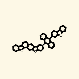 c1ccc2c(c1)oc1cc(-c3c4ccccc4c(-c4ccc5sc6cc7c(ccc8c9ccccc9oc78)cc6c5c4)c4ccccc34)ccc12